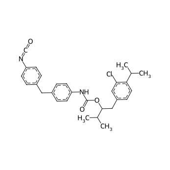 CC(C)c1ccc(CC(OC(=O)Nc2ccc(Cc3ccc(N=C=O)cc3)cc2)C(C)C)cc1Cl